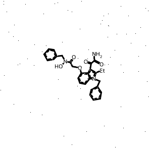 CCc1c(C(=O)C(N)=O)c2c(OCC(=O)N(O)Cc3ccccc3)cccc2n1Cc1ccccc1